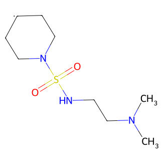 CN(C)CCNS(=O)(=O)N1CC[CH]CC1